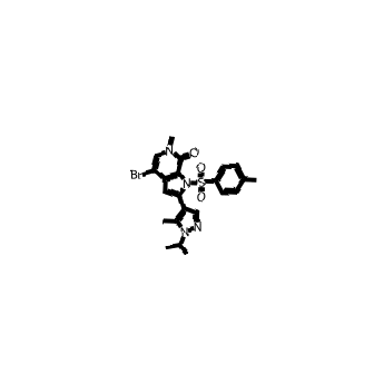 Cc1ccc(S(=O)(=O)n2c(-c3cnn(C(C)C)c3C)cc3c(Br)cn(C)c(=O)c32)cc1